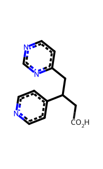 O=C(O)CC(Cc1ccncn1)c1ccncc1